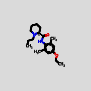 CCCN1CCCC[C@H]1C(=O)Nc1c(C)cc(OCC)cc1C